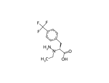 CCN(N)[C@@H](Cc1ccc(C(F)(F)F)cc1)C(=O)O